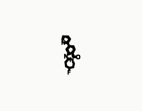 O=c1c2ccc(-c3ccccn3)cc2nc2n1CCC(F)CC2